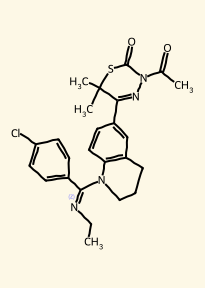 CC/N=C(/c1ccc(Cl)cc1)N1CCCc2cc(C3=NN(C(C)=O)C(=O)SC3(C)C)ccc21